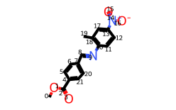 COC(=O)c1ccc(/C=N/c2ccc([N+](=O)[O-])cc2C)cc1